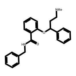 CNCCC(Oc1ccccc1C(=O)NCc1ccccc1)c1ccccc1